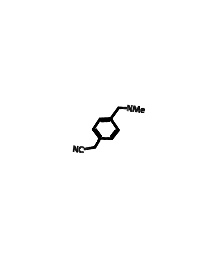 CNCc1ccc(CC#N)cc1